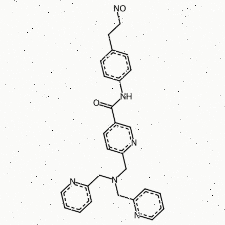 O=NCCc1ccc(NC(=O)c2ccc(CN(Cc3ccccn3)Cc3ccccn3)nc2)cc1